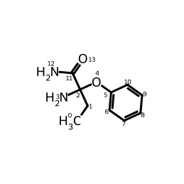 CCC(N)(Oc1ccccc1)C(N)=O